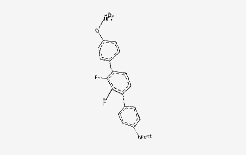 CCCCCc1ccc(-c2ccc(-c3ccc(OCCC)cc3)c(F)c2F)cc1